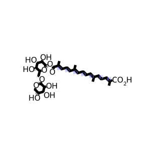 CC(/C=C/C=C(\C)C(=O)O)=C\C=C\C=C(C)\C=C\C=C(/C)C(=O)O[C@@H]1OC(CO[C@@H]2OC[C@@H](O)C(O)C2O)[C@@H](O)C(O)C1O